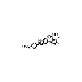 Cc1ccc(-c2ccc3nn(C4CCC(CO)CC4)cc3c2)c(C(N)=O)n1